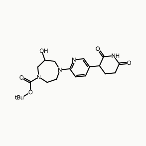 CC(C)(C)OC(=O)N1CCN(c2ccc(C3CCC(=O)NC3=O)cn2)CC(O)C1